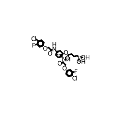 O=C(COc1ccc(Cl)c(F)c1)NC12CCC(NC(=O)COc3ccc(Cl)c(F)c3)(CC1)C(OC(=O)CCCP(O)O)C2